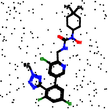 Cn1nnc(-c2c(F)cc(Cl)cc2-c2cnc(CNC(=O)N(O)C3CCC(C)(C)CC3)c(Cl)c2)n1